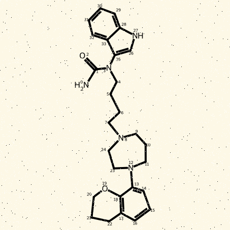 NC(=O)N(CCCCN1CCCN(c2cccc3c2OCCC3)CC1)c1c[nH]c2ccccc12